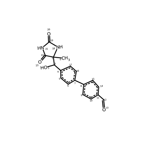 CC1(C(O)c2ccc(-c3ccc(C=O)cc3)cc2)NC(=O)NC1=O